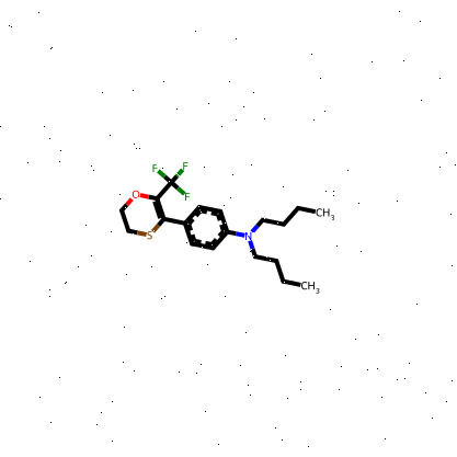 CCCCN(CCCC)c1ccc(C2=C(C(F)(F)F)OCCS2)cc1